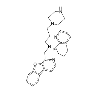 c1cnc2c(c1)CCC[C@@H]2N(CCCN1CCNCC1)Cc1nccc2c1oc1ccccc12